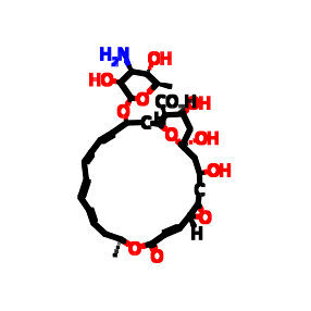 C[C@@H]1C/C=C/C=C/C=C/C=C/[C@H](O[C@@H]2O[C@H](C)[C@@H](O)[C@H](N)[C@@H]2O)C[C@@H]2O[C@](O)(C[C@@H](O)CC3O[C@@H]3/C=C/C(=O)O1)C[C@H](O)[C@H]2C(=O)O